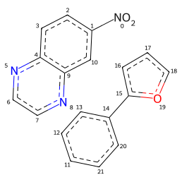 O=[N+]([O-])c1ccc2nccnc2c1.c1ccc(-c2ccco2)cc1